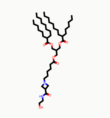 CCCCCCCCC(CCCCCC)C(=O)OCC(COC(=O)CCCCCN1CC(C(=O)NCCO)C1)COC(=O)C(CCCCCC)CCCCCCCC